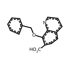 O=C(O)c1ccc2cccnc2c1OCc1ccccc1